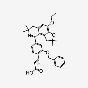 CCOc1cc2c(c3c1OC(C)(C)C3)C(c1ccc(/C=C/C(=O)O)c(OCc3ccccc3)c1)=NC(C)(C)C2